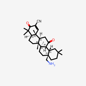 CC1(C)CC[C@]2(CN)CC[C@]3(C)[C@H](C(=O)C[C@@H]4[C@@]5(C)C=C(C#N)C(=O)C(C)(C)[C@@H]5CC[C@]43C)[C@@H]2C1